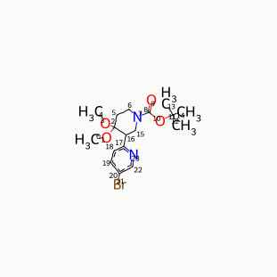 COC1(OC)CCN(C(=O)OC(C)(C)C)CC1c1ccc(Br)cn1